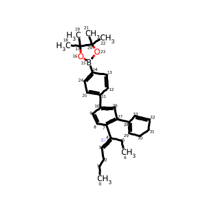 CCC/C=C(\CC)c1ccc(-c2ccc(B3OC(C)(C)C(C)(C)O3)cc2)cc1C1=CCCC=C1